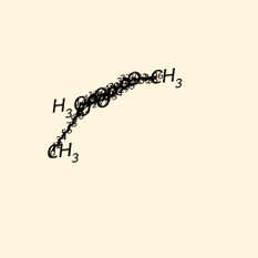 CCCCCCCCCCCCOC(C)c1ccc(OC(=O)c2ccc(-c3ccc(OCCCCCC)cc3)cc2)cc1